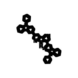 c1ccc(-n2c3ccccc3c3cc(-c4cnc5c(c4)-c4cncc(-c6ccc7c(c6)c6ccccc6n7-c6ccccc6)c4[SiH2]5)ccc32)cc1